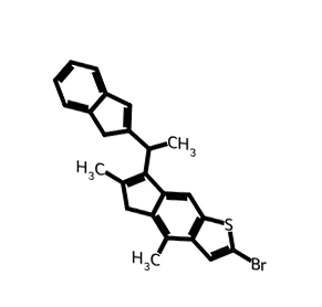 CC1=C(C(C)C2=Cc3ccccc3C2)c2cc3sc(Br)cc3c(C)c2C1